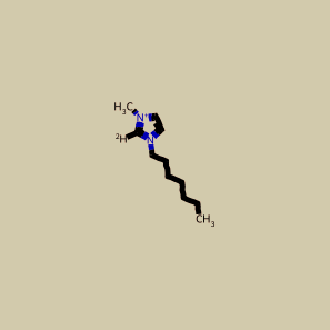 [2H]c1n(CCCCCCC)cc[n+]1C